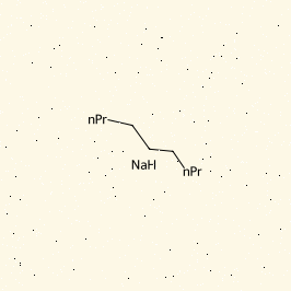 CCCCCCCCC.[NaH]